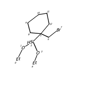 CCO[SiH](OCC)C1(CBr)CCCCC1